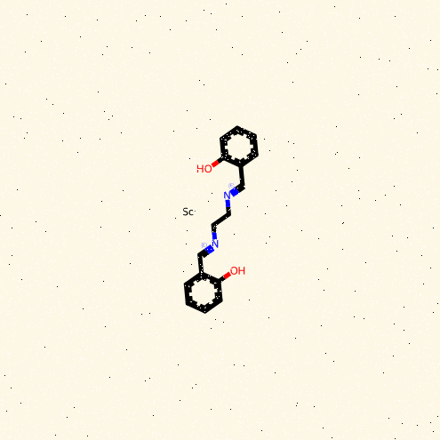 Oc1ccccc1/C=N/CC/N=C/c1ccccc1O.[Sc]